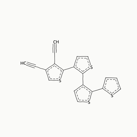 C#Cc1csc(-c2ccsc2-c2ccsc2-c2cccs2)c1C#C